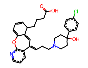 O=C(O)CCCC1C=CC=C2Oc3ncccc3C(=CCCN3CCC(O)(c4ccc(Cl)cc4)CC3)C=C21